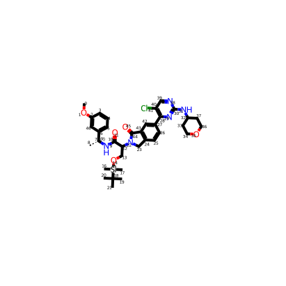 COc1cccc([C@@H](C)NC(=O)C(CO[Si](C)(C)C(C)(C)C)N2Cc3ccc(-c4nc(NC5CCOCC5)ncc4Cl)cc3C2=O)c1